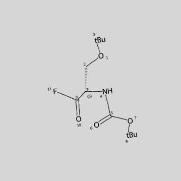 CC(C)(C)OC[C@H](NC(=O)OC(C)(C)C)C(=O)F